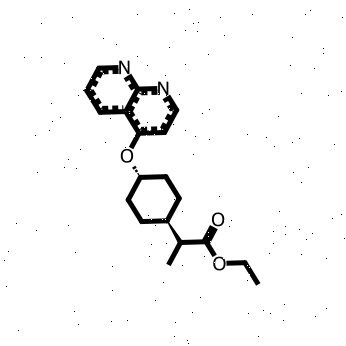 CCOC(=O)C(C)[C@H]1CC[C@H](Oc2ccnc3ncccc23)CC1